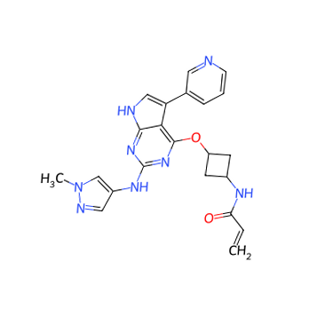 C=CC(=O)NC1CC(Oc2nc(Nc3cnn(C)c3)nc3[nH]cc(-c4cccnc4)c23)C1